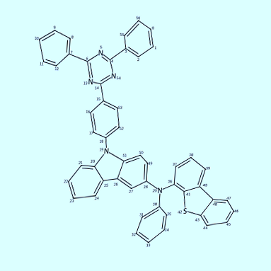 c1ccc(-c2nc(-c3ccccc3)nc(-c3ccc(-n4c5ccccc5c5cc(N(c6ccccc6)c6cccc7c6sc6ccccc67)ccc54)cc3)n2)cc1